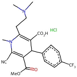 COC(=O)C1=C(C#N)N(C)C(CCN(C)C)=C(C(=O)O)C1c1ccc(C(F)(F)F)cc1.Cl